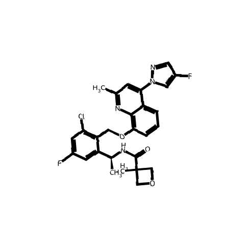 Cc1cc(-n2cc(F)cn2)c2cccc(OCc3c(Cl)cc(F)cc3[C@H](C)NC(=O)C3(C)COC3)c2n1